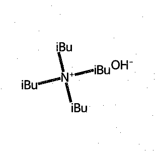 CCC(C)[N+](C(C)CC)(C(C)CC)C(C)CC.[OH-]